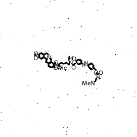 CNCCN(C)C(=O)OCc1ccc(/N=N/c2ccc(O)c(C(=O)NCCCCC(=O)Oc3c(OC)ccc4c3CN3CCc5cc6c(cc5C3=C4)OCO6)c2)cc1